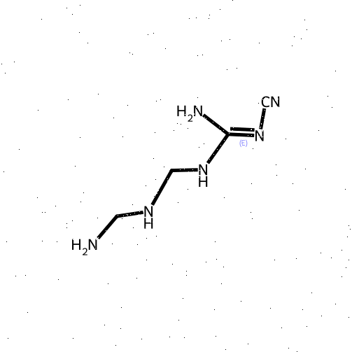 N#C/N=C(\N)NCNCN